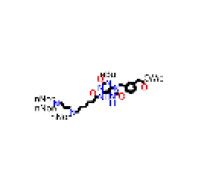 CCCCCCCCCN(CCCCCCCCC)CCCN(CCCCCCCCC)CCCCCC(=O)Nc1nc(OCCCC)nc2c1[nH]c(=O)n2Cc1cccc(CC(=O)OC)c1